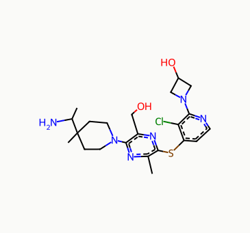 Cc1nc(N2CCC(C)(C(C)N)CC2)c(CO)nc1Sc1ccnc(N2CC(O)C2)c1Cl